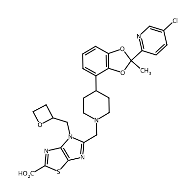 CC1(c2ccc(Cl)cn2)Oc2cccc(C3CCN(Cc4nc5sc(C(=O)O)nc5n4CC4CCO4)CC3)c2O1